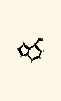 CC(C)(C)c1ncnn2ccnc12